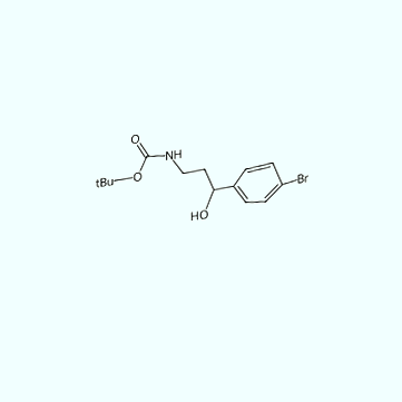 CC(C)(C)OC(=O)NCCC(O)c1ccc(Br)cc1